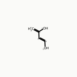 C=C(O)C=CO